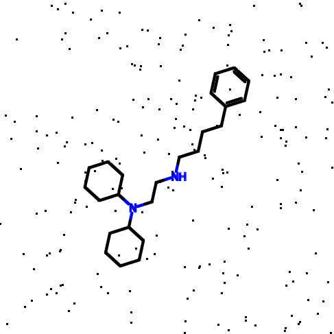 c1ccc(CCCCNCCN(C2CCCCC2)C2CCCCC2)cc1